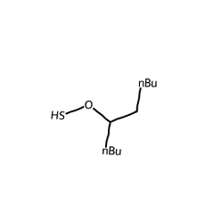 CCCCCC(CCCC)OS